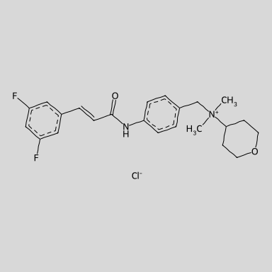 C[N+](C)(Cc1ccc(NC(=O)/C=C/c2cc(F)cc(F)c2)cc1)C1CCOCC1.[Cl-]